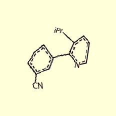 CC(C)c1cccnc1-c1cccc(C#N)c1